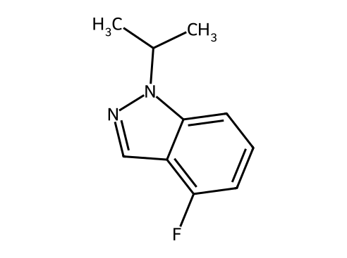 CC(C)n1ncc2c(F)cccc21